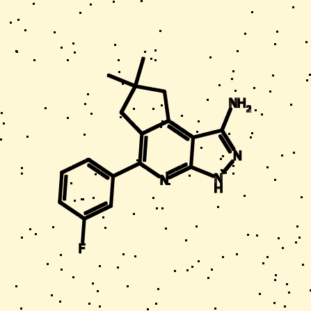 CC1(C)Cc2c(-c3cccc(F)c3)nc3[nH]nc(N)c3c2C1